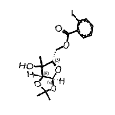 CC1(C)O[C@@H]2O[C@@H](COC(=O)c3ccccc3I)C(C)(O)[C@H]2O1